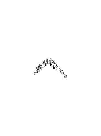 O.O.O.O.O.O.O.O.O.O.O.O.[Zr].[Zr].[Zr].[Zr].[Zr].[Zr].[Zr].[Zr].[Zr]